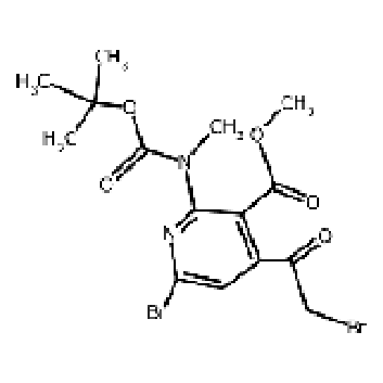 COC(=O)c1c(C(=O)CBr)cc(Br)nc1N(C)C(=O)OC(C)(C)C